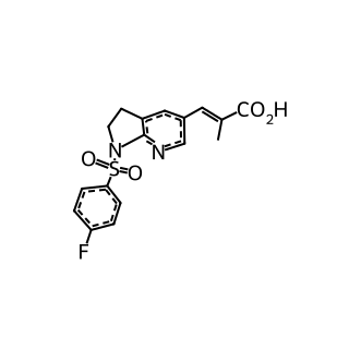 C/C(=C\c1cnc2c(c1)CCN2S(=O)(=O)c1ccc(F)cc1)C(=O)O